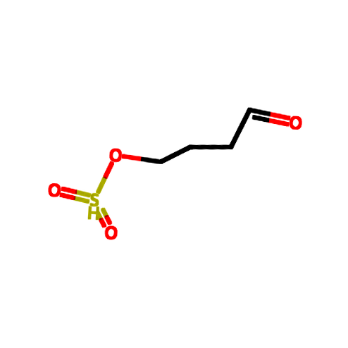 O=CCCCO[SH](=O)=O